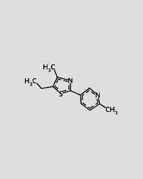 CCc1sc(-c2ccc(C)nc2)nc1C